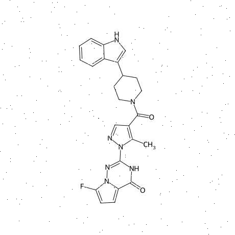 Cc1c(C(=O)N2CCC(c3c[nH]c4ccccc34)CC2)cnn1-c1nn2c(F)ccc2c(=O)[nH]1